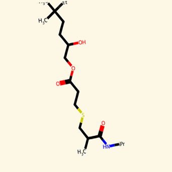 CCC(C)(C)CCC(O)COC(=O)CCSCC(C)C(=O)NC(C)C